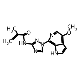 C=C(C)C(=O)Nc1ncn(-c2ncc(OC)c3cc[nH]c23)n1